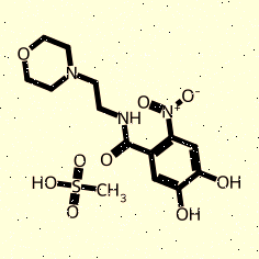 CS(=O)(=O)O.O=C(NCCN1CCOCC1)c1cc(O)c(O)cc1[N+](=O)[O-]